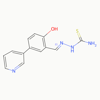 NC(=S)N/N=C/c1cc(-c2cccnc2)ccc1O